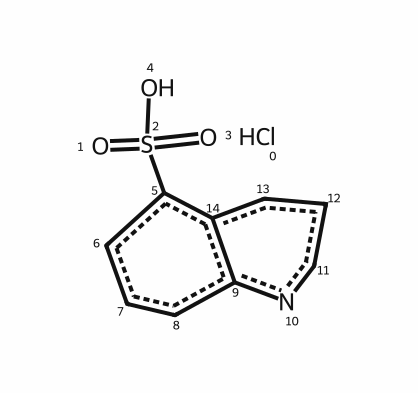 Cl.O=S(=O)(O)c1cccc2ncccc12